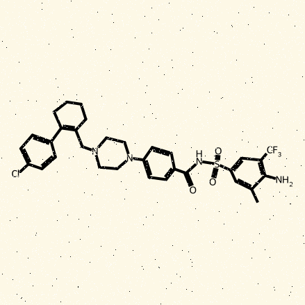 Cc1cc(S(=O)(=O)NC(=O)c2ccc(N3CCN(CC4=C(c5ccc(Cl)cc5)CCCC4)CC3)cc2)cc(C(F)(F)F)c1N